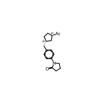 CC(=O)[C@@H]1CC[C@@H](Cc2ccc(N3CCCC3=O)cc2)C1